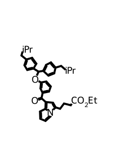 CCOC(=O)CCCc1cc(C(=O)c2cccc(OC(c3ccc(CC(C)C)cc3)c3ccc(CC(C)C)cc3)c2)c2ccccn12